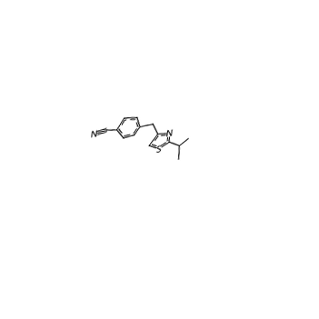 CC(C)c1nc(Cc2ccc(C#N)cc2)cs1